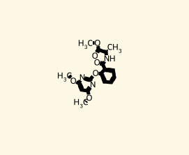 COC(=O)[C@H](C)NC(=O)c1ccccc1Oc1nc(OC)cc(OC)n1